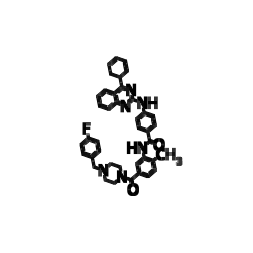 Cc1ccc(C(=O)N2CCN(Cc3ccc(F)cc3)CC2)cc1NC(=O)c1ccc(Nc2nc(C3C=CC=CC3)c3ccccc3n2)cc1